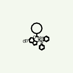 O=C([NH][Zr+2]([CH]1C=Cc2ccccc21)[SiH](c1ccccc1)c1ccccc1)C1CCCCCCCCCCC1.[Cl-].[Cl-]